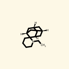 CCN1CCCCC12[C@H]1C[C@H]3C[C@H](C1)C[C@H]2C3